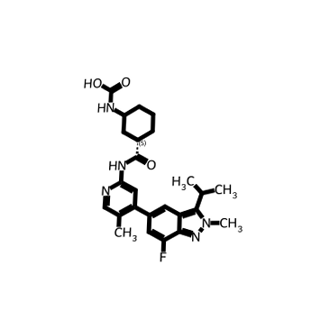 Cc1cnc(NC(=O)[C@H]2CCCC(NC(=O)O)C2)cc1-c1cc(F)c2nn(C)c(C(C)C)c2c1